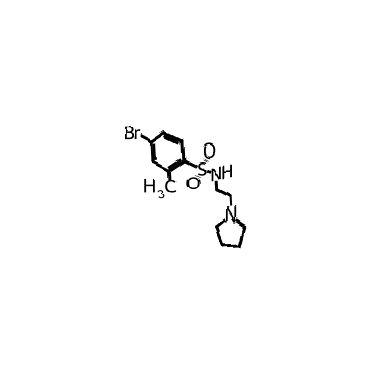 Cc1cc(Br)ccc1S(=O)(=O)NCCN1CCCC1